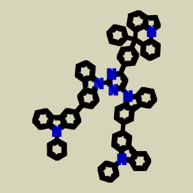 c1ccc(-n2c3ccccc3c3cc(-c4ccc5c(c4)c4ccccc4n5-c4cc(-c5ccc(C6(c7ccccc7)c7ccccc7-n7ccc8cccc6c87)cc5)nc(-n5c6ccccc6c6cc(-c7ccc8c(c7)c7ccccc7n8-c7ccccc7)ccc65)n4)ccc32)cc1